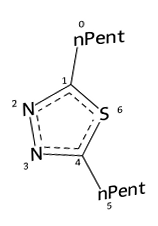 CCCCCc1nnc(CCCCC)s1